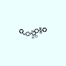 O=c1[nH]c(N2CCN(Cc3ccccc3)CC2)nc2c1CC(S(=O)(=O)c1ccccc1)CC2